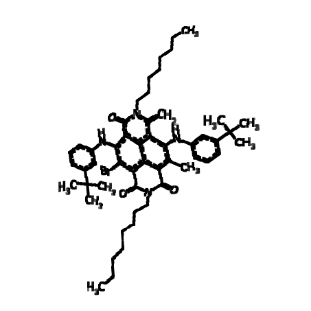 C=c1c2c(Nc3cccc(C(C)(C)C)c3)c(C)c3c4c(c(Br)c(Nc5cccc(C(C)(C)C)c5)c(c(=O)n1CCCCCCCC)c42)C(=O)N(CCCCCCCC)C3=O